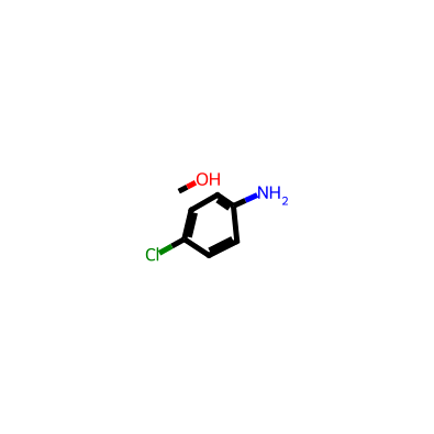 CO.Nc1ccc(Cl)cc1